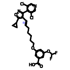 O=C(O)c1cc(OCCCCC/C=C/c2c(-c3c(Cl)cncc3Cl)noc2C2CC2)cc(OC(F)F)c1